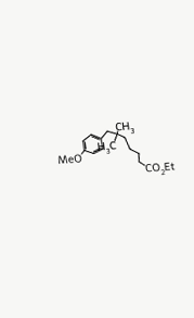 CCOC(=O)CCCCC(C)(C)Cc1ccc(OC)cc1